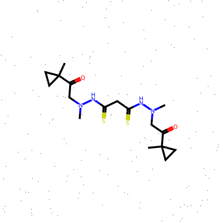 CN(CC(=O)C1(C)CC1)NC(=S)CC(=S)NN(C)CC(=O)C1(C)CC1